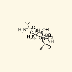 BC(B)(OC(=O)[C@@H](N)C(C)C)[C@]1(F)C[C@@H](O)[C@](B)(n2cc(C#C)c(=O)[nH]c2=O)O1